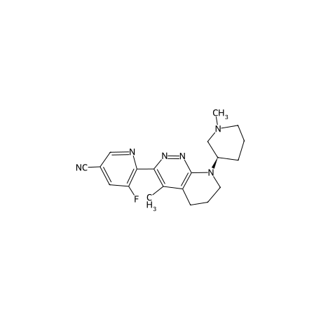 Cc1c(-c2ncc(C#N)cc2F)nnc2c1CCCN2[C@@H]1CCCN(C)C1